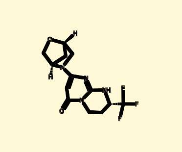 O=c1cc(N2C[C@@H]3C[C@@H]2CO3)nc2n1CC[C@@H](C(F)(F)F)N2